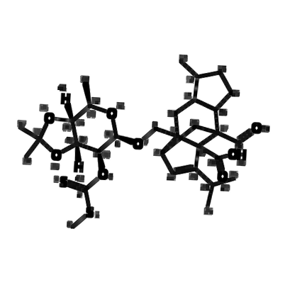 CSC(=S)O[C@@H]1[C@H](OCC23CC4C(C)CCC4C4(C=O)CC2C=C(C(C)C)C43C(=O)O)O[C@H](C)[C@H]2OC(C)(C)O[C@@H]12